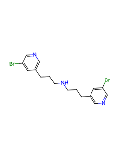 Brc1cncc(CCCNCCCc2cncc(Br)c2)c1